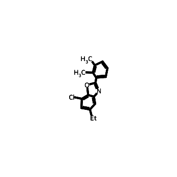 CCc1cc(Cl)c2oc(-c3cccc(C)c3C)nc2c1